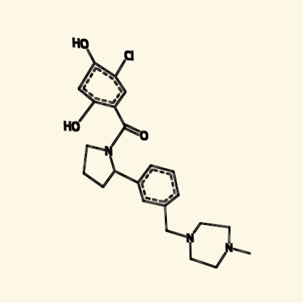 CN1CCN(Cc2cccc(C3CCCN3C(=O)c3cc(Cl)c(O)cc3O)c2)CC1